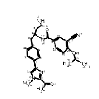 CC(=O)c1nc(-c2ccc(CC(CCO)NC(=O)c3ccc(OC(C)C)c(C#N)c3)cc2)cn1C